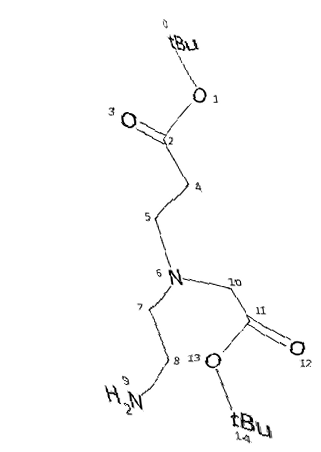 CC(C)(C)OC(=O)CCN(CCN)CC(=O)OC(C)(C)C